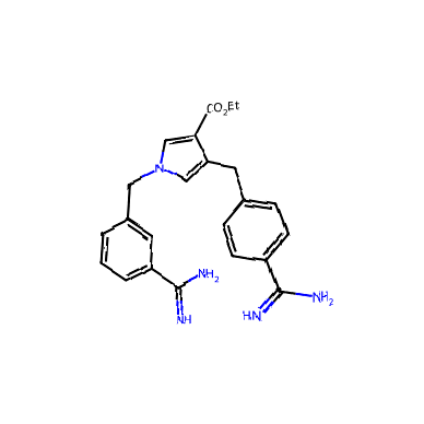 CCOC(=O)c1cn(Cc2cccc(C(=N)N)c2)cc1Cc1ccc(C(=N)N)cc1